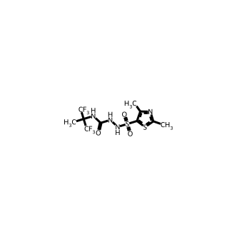 Cc1nc(C)c(S(=O)(=O)NNC(=O)NC(C)(C(F)(F)F)C(F)(F)F)s1